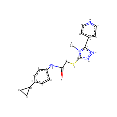 CCn1c(SCC(=O)Nc2ccc(C3CC3)cc2)nnc1-c1ccncc1